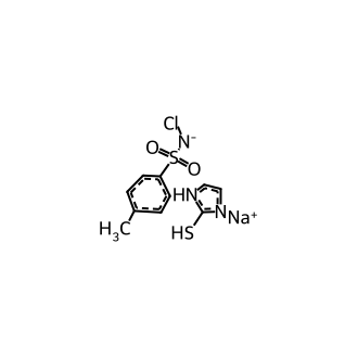 Cc1ccc(S(=O)(=O)[N-]Cl)cc1.Sc1ncc[nH]1.[Na+]